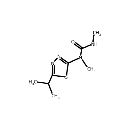 CNC(=O)N(C)c1nnc(C(C)C)s1